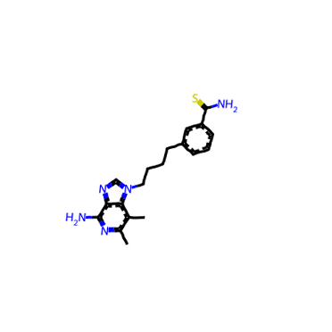 Cc1nc(N)c2ncn(CCCCc3cccc(C(N)=S)c3)c2c1C